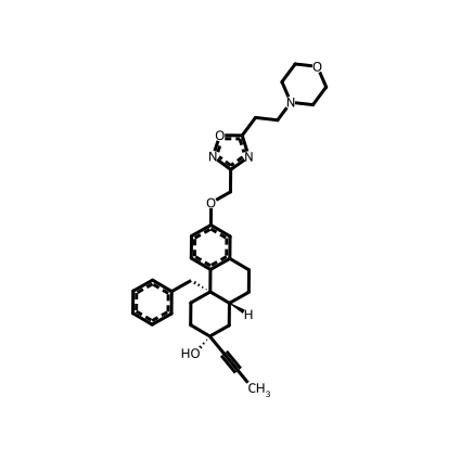 CC#C[C@@]1(O)CC[C@@]2(Cc3ccccc3)c3ccc(OCc4noc(CCN5CCOCC5)n4)cc3CC[C@@H]2C1